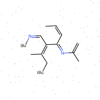 C=C(C)/N=C(\C=C/C)C(/C=N\C(C)CC)=C(/C)CC(C)(C)C